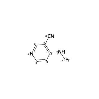 CC(C)Nc1ccncc1C#N